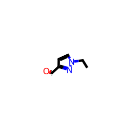 CCn1ccc([C]=O)n1